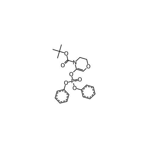 CC(C)(C)OC(=O)N1CCOC=C1OP(=O)(Oc1ccccc1)Oc1ccccc1